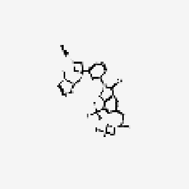 CN(Cc1cc2c(c(C(F)(F)F)c1)CN(c1cccc([C@]3(Cc4nncn4C)C[C@@H](C#N)C3)c1)C2=O)C1CC(F)(F)C1